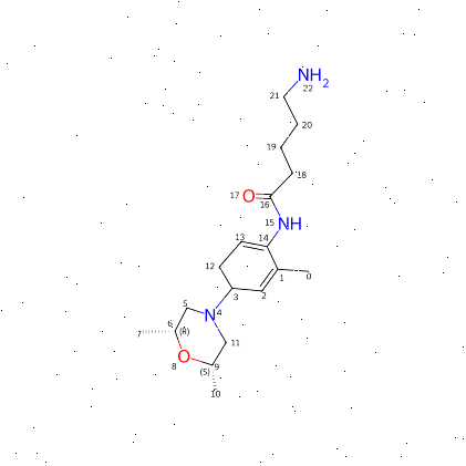 CC1=CC(N2C[C@@H](C)O[C@@H](C)C2)CC=C1NC(=O)CCCCN